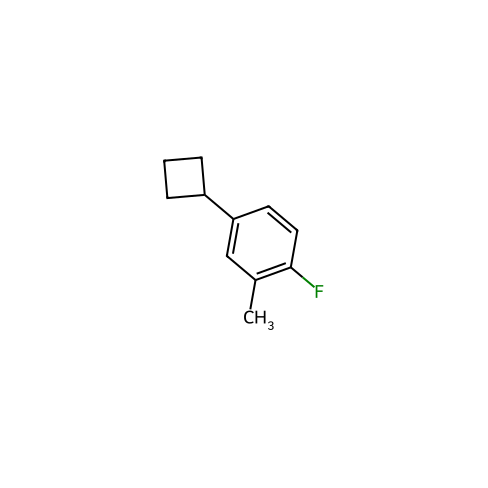 Cc1cc(C2CCC2)ccc1F